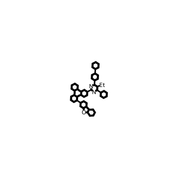 CCc1c(-c2ccccc2)nc(-c2ccc3c(c2)c2ccccc2c2cccc(-c4ccc5c(c4)oc4ccccc45)c23)nc1-c1ccc(-c2ccccc2)cc1